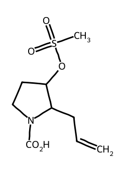 C=CCC1C(OS(C)(=O)=O)CCN1C(=O)O